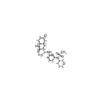 CC(Nc1nccc(N(C2CCCOC2)S(C)(=O)=O)n1)c1cc2cc(Cl)ccc2[nH]c1=O